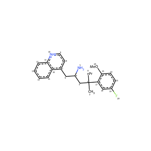 CCCC(C)(CC(N)Cc1ccnc2ccccc12)c1cc(F)ccc1OC